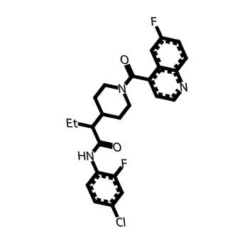 CCC(C(=O)Nc1ccc(Cl)cc1F)C1CCN(C(=O)c2ccnc3ccc(F)cc23)CC1